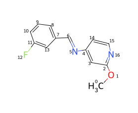 COc1cc(N=Cc2cccc(F)c2)ccn1